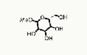 COC1O[C@H](CO)C(O)C(O)C1O